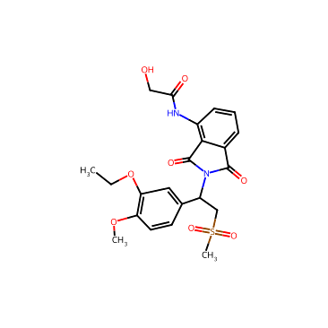 CCOc1cc(C(CS(C)(=O)=O)N2C(=O)c3cccc(NC(=O)CO)c3C2=O)ccc1OC